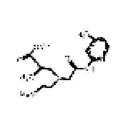 CNCCN(CC(=O)Nc1cc(C)ccn1)CC(C)C(=O)OC